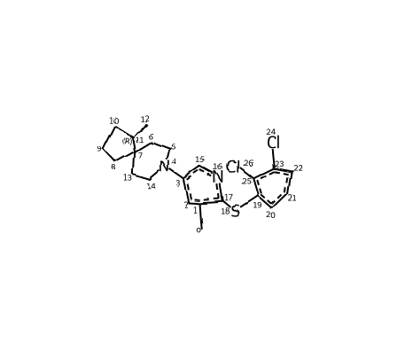 Cc1cc(N2CCC3(CCC[C@H]3C)CC2)cnc1Sc1cccc(Cl)c1Cl